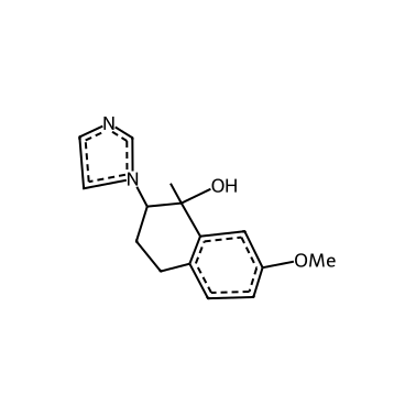 COc1ccc2c(c1)C(C)(O)C(n1ccnc1)CC2